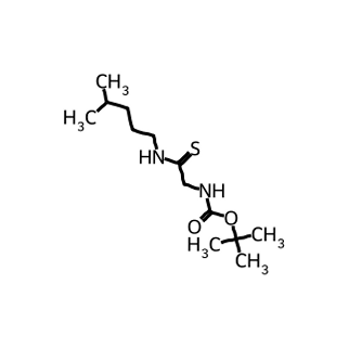 CC(C)CCCNC(=S)CNC(=O)OC(C)(C)C